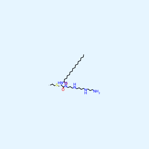 [CH2][CH]CSC[C@H](NC(=O)CCCCCCCCCCCCCCC)C(=O)NCCCNCCCCNCCCN